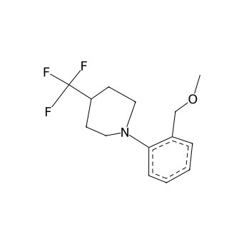 COCc1ccccc1N1CCC(C(F)(F)F)CC1